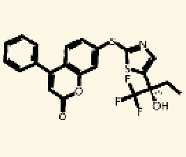 CC[C@@](O)(c1cnc(Sc2ccc3c(-c4ccccc4)cc(=O)oc3c2)s1)C(F)(F)F